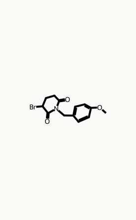 COc1ccc(CN2C(=O)CCC(Br)C2=O)cc1